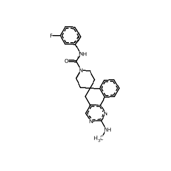 CNc1ncc2c(n1)-c1ccccc1C1(CCN(C(=O)Nc3cccc(F)c3)CC1)C2